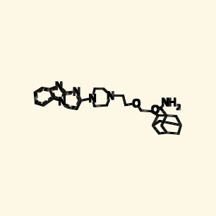 NC(=O)C12CC3CC(CC(C3)C1CCOCCN1CCN(c3ccn4c(n3)nc3ccccc34)CC1)C2